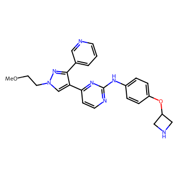 COCCn1cc(-c2ccnc(Nc3ccc(OC4CNC4)cc3)n2)c(-c2cccnc2)n1